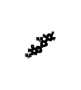 Cc1nc2ccc(N3CCC(c4cc(F)c(F)cc4F)[C@@H](N)C3)nc2c(=O)[nH]1